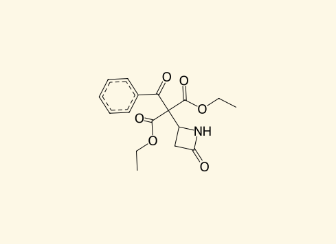 CCOC(=O)C(C(=O)OCC)(C(=O)c1ccccc1)C1CC(=O)N1